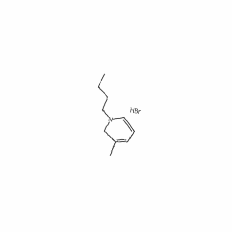 Br.CCCCN1C=CC=C(C)C1